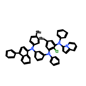 CC(C)(C)c1ccc(N(c2cccc(N(c3ccccc3)c3cc(C(C)(C)C)cc(N(c4ccccc4)c4ccc5ccccn45)c3Cl)c2)c2ccc(-c3ccccc3)c3ccccc23)cc1